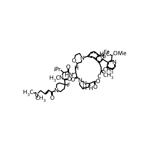 CCn1c(-c2cccnc2[C@H](C)OC)c2c3cc(ccc31)N1CCO[C@@H](C[C@H](NC(=O)C(C(C)C)N(C)C(=O)C3(F)CCN(C(=O)/C=C/CN(C)C)CC3)C(=O)N3CCC[C@H](N3)C(=O)OCC(C)(C)C2)C1